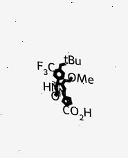 COCCC1=CN(C23CCC(C(=O)O)(C2)C3)C(=O)N[C@@]1(C)c1ccc(CCC(C)(C)C)c(C(F)(F)F)c1